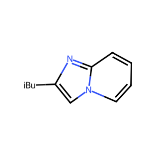 CCC(C)c1cn2ccccc2n1